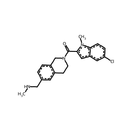 CNCc1ccc2c(c1)CCN(C(=O)c1cc3cc(Cl)ccc3n1C)C2